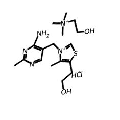 C[N+](C)(C)CCO.Cc1ncc(C[n+]2csc(CCO)c2C)c(N)n1.Cl